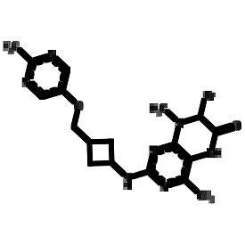 Cc1nc(NC2CC(COc3cnc(C(F)(F)F)nc3)C2)nc2c1NC(=O)C(C(C)C)N2C